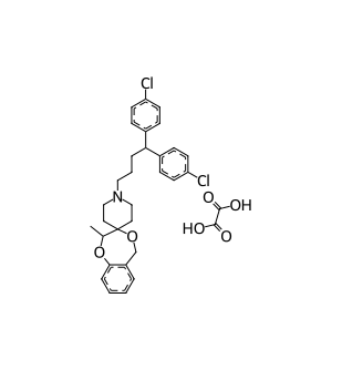 CC1Oc2ccccc2COC12CCN(CCCC(c1ccc(Cl)cc1)c1ccc(Cl)cc1)CC2.O=C(O)C(=O)O